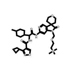 CC1CCC(C(NC(=O)c2conc2C2CCC2)C(=O)Nc2cc3c(cn2)C2(CCOCC2)C(=O)N3COCC[Si](C)(C)C)CC1